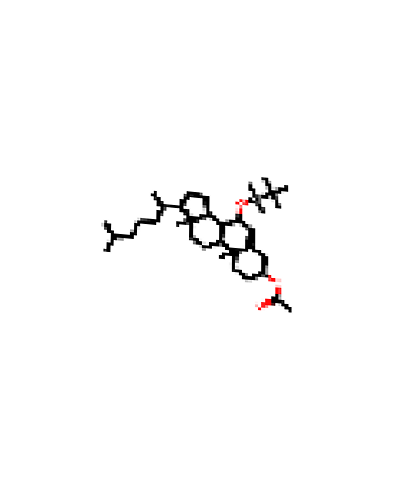 CC(=O)O[C@H]1CCC2(C)C(=CC(O[Si](C)(C)C(C)(C)C)C3C2CCC2(C)C3CC[C@@H]2C(C)CCCC(C)C)C1